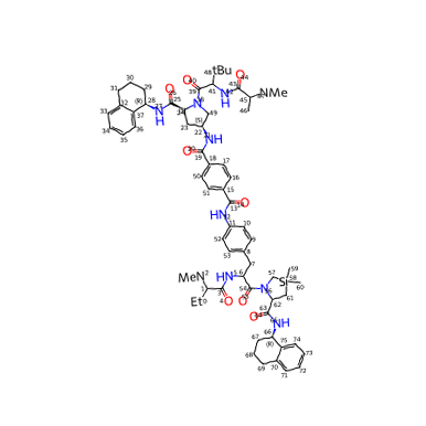 CCC(NC)C(=O)NC(Cc1ccc(NC(=O)c2ccc(C(=O)N[C@H]3C[C@@H](C(=O)N[C@@H]4CCCc5ccccc54)N(C(=O)C(NC(=O)C(C)NC)C(C)(C)C)C3)cc2)cc1)C(=O)N1C[Si](C)(C)CC1C(=O)N[C@@H]1CCCc2ccccc21